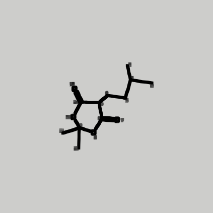 CC(C)CCC1C(=O)OC(C)(C)OC1=O